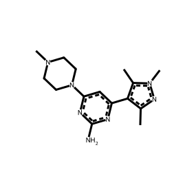 Cc1nn(C)c(C)c1-c1cc(N2CCN(C)CC2)nc(N)n1